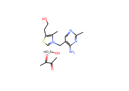 CC(=O)C(C)=O.Cc1ncc(C[n+]2csc(CCO)c2C)c(N)n1.O=S(=O)(O)O